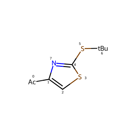 CC(=O)c1csc(SC(C)(C)C)n1